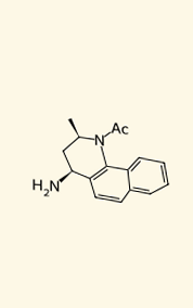 CC(=O)N1c2c(ccc3ccccc23)[C@@H](N)C[C@H]1C